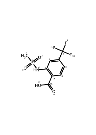 CS(=O)(=O)Nc1cc(C(F)(F)F)ccc1C(=O)O